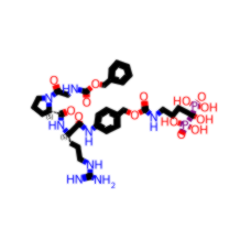 N=C(N)NCCC[C@H](NC(=O)[C@@H]1CCCN1C(=O)CNC(=O)OCc1ccccc1)C(=O)Nc1ccc(COC(=O)NCCCC(O)(P(=O)(O)O)P(=O)(O)O)cc1